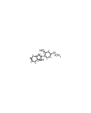 COc1ccc(-c2nc3cnccc3[nH]2)c(O)c1